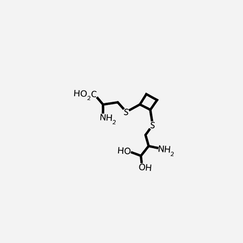 NC(CSC1CCC1SCC(N)C(O)O)C(=O)O